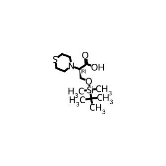 CC(C)(C)[Si](C)(C)OC[C@H](C(=O)O)N1CCSCC1